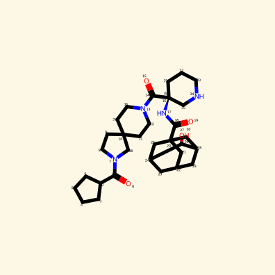 O=C(C1CCCC1)N1CCC2(CCN(C(=O)[C@]3(NC(=O)C45CC6CC(C4)C(O)C(C6)C5)CCCNC3)CC2)C1